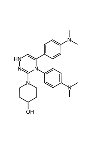 CN(C)c1ccc(C2=CNN=C(N3CCC(O)CC3)N2c2ccc(N(C)C)cc2)cc1